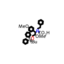 COc1ccc([C@H]([C@@H](CO[Si](c2ccccc2)(c2ccccc2)C(C)(C)C)OC)N(CCc2ccccc2)C(=O)O)cc1